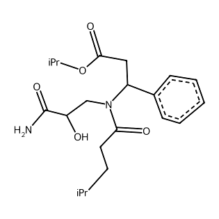 CC(C)CCC(=O)N(CC(O)C(N)=O)C(CC(=O)OC(C)C)c1ccccc1